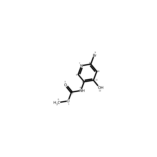 COC(=O)Nc1cnc(Br)cc1O